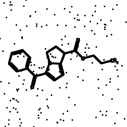 CCCOC(=O)C1CCn2c(C(=O)c3ccccc3)ccc21